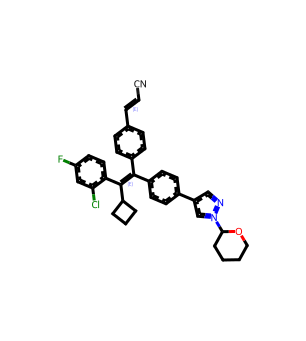 N#C/C=C/c1ccc(/C(=C(\c2ccc(F)cc2Cl)C2CCC2)c2ccc(-c3cnn(C4CCCCO4)c3)cc2)cc1